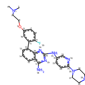 CN(C)CCOc1ccc(F)c(-c2cccc3c(N)nc(Nc4ccc(N5CCNCC5)nc4)nc23)c1